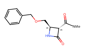 CNC(=O)[C@@H]1C(=O)N[C@H]1COCc1ccccc1